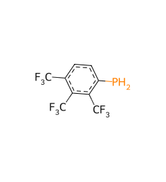 FC(F)(F)c1ccc(P)c(C(F)(F)F)c1C(F)(F)F